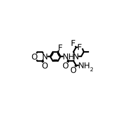 CC(C)CN(CC(F)F)[C@H](C(N)=O)C(=O)Nc1ccc(N2CCOCC2=O)cc1F